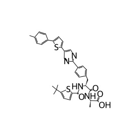 Cc1ccc(-c2ccc(-c3cnc(-c4ccc(C[C@H](NC(=O)c5ccc(C(C)(C)C)s5)C(=O)N[C@H](C)C(=O)O)cc4)nc3)s2)cc1